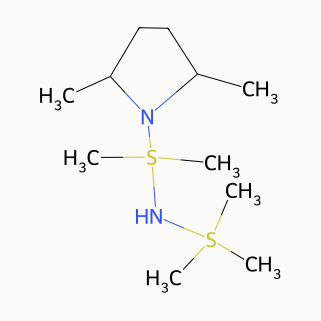 CC1CCC(C)N1S(C)(C)NS(C)(C)C